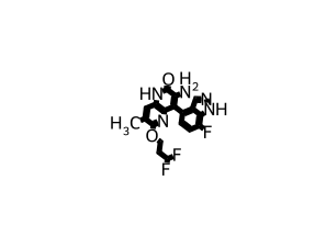 Cc1cc2[nH]c(=O)c(N)c(-c3ccc(F)c4[nH]ncc34)c2nc1OCCC(F)F